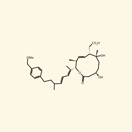 COCc1ccc(CCC(C)/C=C/C=C(\C)[C@H]2OC(=O)C[C@H](O)CC[C@@](C)(O)[C@@H](CC(=O)O)/C=C/[C@@H]2C)cc1